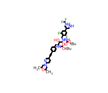 C[C@@H]1CN(c2ccc(C#Cc3ccc(C[C@H](NC(=O)OC(C)(C)C)[C@@H](O)CN(Cc4c(F)cc(/C(C=N)=C/NC(F)F)cc4F)NC(=O)OC(C)(C)C)cc3)cn2)C[C@H](C)O1